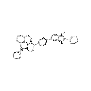 Cn1c(-c2ccccc2)nc2cc(-c3ccc(-c4ccc5c6c4ccc4cccc(c46)n5-c4ccccc4)cc3)ccc21